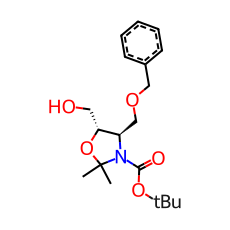 CC(C)(C)OC(=O)N1[C@H](COCc2ccccc2)[C@@H](CO)OC1(C)C